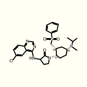 CC(C)N(C)[C@@H]1CC[C@H](N2CCC(Nc3ncnc4ccc(Cl)cc34)C2=O)[C@H](CS(=O)(=O)c2ccccc2)C1